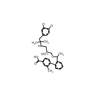 Cc1cc(C(=O)O)ccc1-c1ccccc1C(C)OC[C@H](O)CNC(C)(C)Cc1ccc(Cl)c(Cl)c1